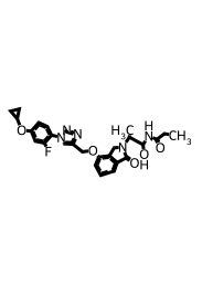 CCC(=O)NC(O)C(C)N1Cc2c(OCc3cn(-c4ccc(OC5CC5)cc4F)nn3)cccc2C1=O